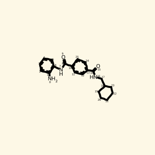 Nc1ccccc1NC(=O)c1ccc(C(=O)NCC2CCCCC2)cc1